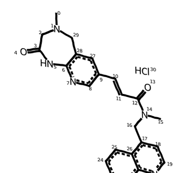 CN1CC(=O)Nc2ncc(C=CC(=O)N(C)Cc3ccnc4ccccc34)cc2C1.Cl